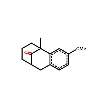 COc1ccc2c(c1)C1(C)CCCC(C2)C1=O